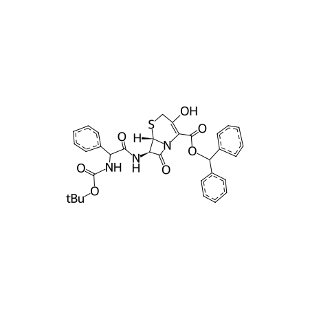 CC(C)(C)OC(=O)NC(C(=O)N[C@@H]1C(=O)N2C(C(=O)OC(c3ccccc3)c3ccccc3)=C(O)CS[C@@H]12)c1ccccc1